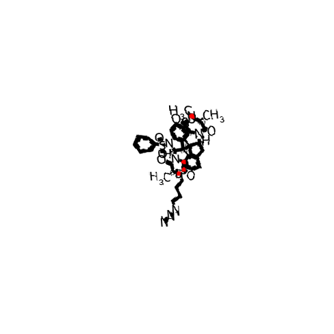 CN1C(=O)[C@@]23C[C@]4([C@]56C[C@@]78SS[C@@](C)(C(=O)N7[C@H]5N(S(=O)(=O)c5ccccc5)c5ccccc56)N(CCCCN=[N+]=[N-])C8=O)c5ccccc5C[C@@H]4N2C(=O)[C@]1(C)SS3